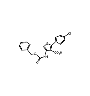 O=C(Nc1csc(-c2ccc(Cl)cc2)c1C(=O)O)OCc1ccccc1